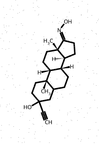 C#CC1(O)CC[C@@]2(C)C(CC[C@@H]3[C@H]2CC[C@]2(C)C(=NO)CC[C@@H]32)C1